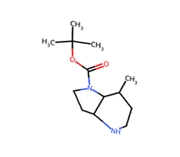 CC1CCNC2CCN(C(=O)OC(C)(C)C)C12